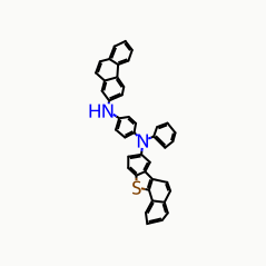 c1ccc(N(c2ccc(Nc3ccc4c(ccc5ccccc54)c3)cc2)c2ccc3sc4c5ccccc5ccc4c3c2)cc1